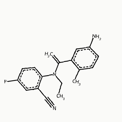 C=C(c1cc(N)ccc1C)N(CC)c1ccc(F)cc1C#N